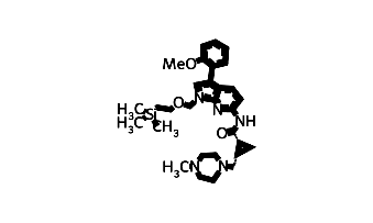 COc1ccccc1-c1cn(COCC[Si](C)(C)C)c2nc(NC(=O)[C@@H]3C[C@@H]3CN3CCN(C)CC3)ccc12